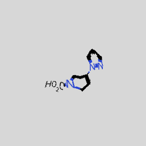 O=C(O)N1CC[C@@H](n2cccn2)C1